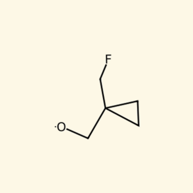 [O]CC1(CF)CC1